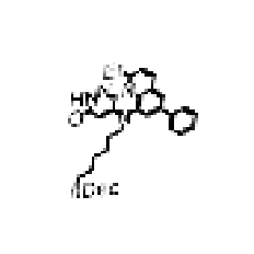 CCCCCCCCCCCCCCCCN(c1cn[nH]c(=O)c1)c1cc(-c2ccccc2)cc2ccc(CC)nc12